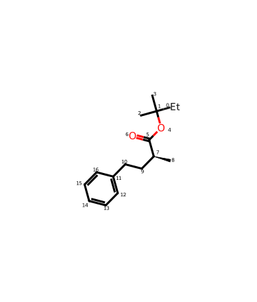 CCC(C)(C)OC(=O)[C@@H](C)CCc1ccccc1